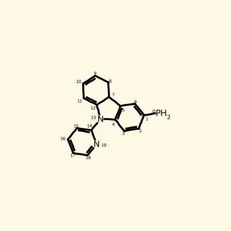 Pc1ccc2c(c1)C1CC=CC=C1N2c1ccccn1